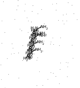 COc1ccc(NC(=O)C(CCCCN)NC(=O)c2cc(NC(=O)[C@H](CCCCN)NC(=O)c3cc(NC(=O)C(CCCNC(=N)N)NC(=O)c4cc(NC(=O)[C@@H](N)CCCCN)ccc4OC)ccc3OC)ccc2OC)cc1C(N)=O